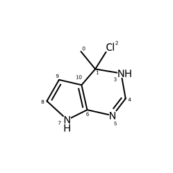 CC1(Cl)NC=Nc2[nH]ccc21